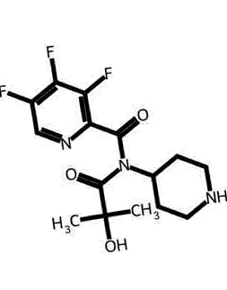 CC(C)(O)C(=O)N(C(=O)c1ncc(F)c(F)c1F)C1CCNCC1